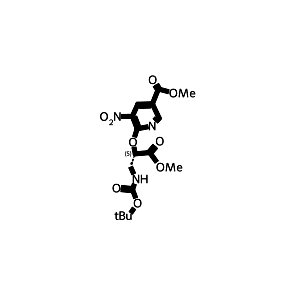 COC(=O)c1cnc(O[C@@H](CNC(=O)OC(C)(C)C)C(=O)OC)c([N+](=O)[O-])c1